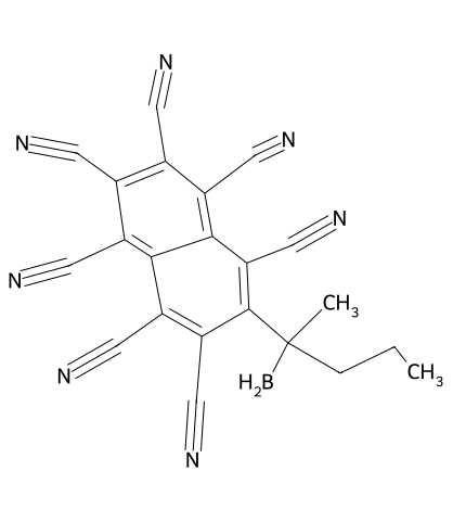 BC(C)(CCC)c1c(C#N)c(C#N)c2c(C#N)c(C#N)c(C#N)c(C#N)c2c1C#N